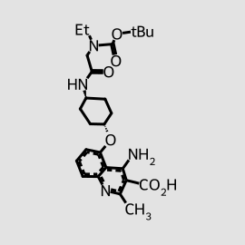 CCN(CC(=O)N[C@H]1CC[C@H](Oc2cccc3nc(C)c(C(=O)O)c(N)c23)CC1)C(=O)OC(C)(C)C